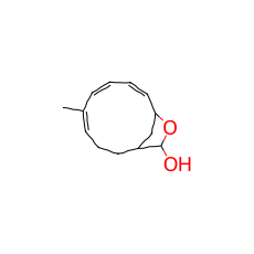 CC1=CCCC2CC(C=CC=C1)OC2O